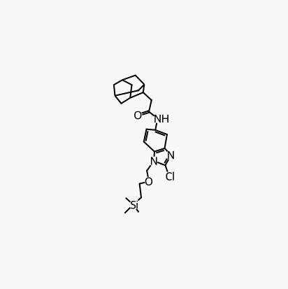 C[Si](C)(C)CCOCn1c(Cl)nc2cc(NC(=O)CC3C4CC5CC(C4)CC3C5)ccc21